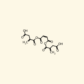 C=C(CC(=O)O)C(=O)OC(=O)/C=C\C(=O)OC(=O)C(=C)CC(=O)O